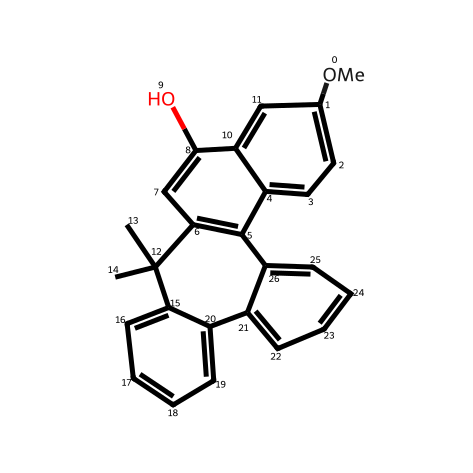 COc1ccc2c3c(cc(O)c2c1)C(C)(C)c1ccccc1-c1ccccc1-3